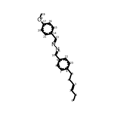 CCC=CCCc1ccc(C=NN=Cc2ccc(OC)cc2)cc1